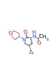 CC(=O)Nc1cc(C2CC2)cn(C2CCOCC2)c1=O